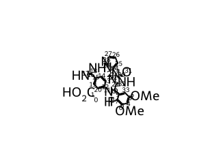 CC(=O)O.COc1cc(OC)c(F)c([C@H](Nc2ccc(C(=N)N)cc2)c2nn(-c3cccnn3)c(=O)[nH]2)c1